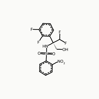 O=[N+]([O-])c1ccccc1S(=O)(=O)N[C@@](CO)(c1cccc(F)c1F)C(F)F